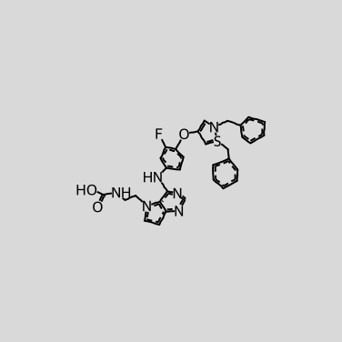 O=C(O)NCCn1ccc2ncnc(Nc3ccc(OC4=CN(Cc5ccccc5)S(Cc5ccccc5)=C4)c(F)c3)c21